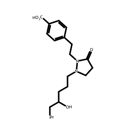 CC(C)CC(O)CCCN1CCC(=O)N1CCc1ccc(C(=O)O)cc1